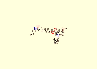 CCCCN(C)C(=O)CCCCCCCCOC(=O)c1cn(Cc2ccccc2)c2ccc(OC)cc12